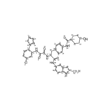 O=C(Nc1cc(Cl)ccc1-n1cnnn1)C(=O)NC(Cc1ccc(NC(=O)N2CCC(O)CC2)cc1)C(=O)Nc1ccc2[nH]c(C(=O)O)cc2c1